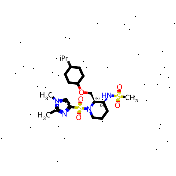 Cc1nc(S(=O)(=O)N2CCC[C@H](NS(C)(=O)=O)[C@@H]2COC2CCC(C(C)C)CC2)cn1C